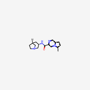 Cc1ccc2cnc(C(=O)N[C@@H]3C[C@H]4CCN(C4)C3)cn12